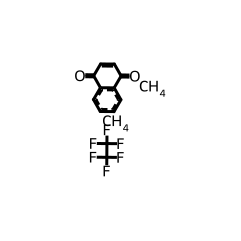 C.C.FC(F)(F)C(F)(F)F.O=C1C=CC(=O)c2ccccc21